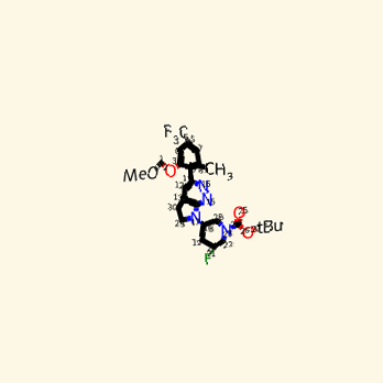 COCOc1cc(C(F)(F)F)cc(C)c1-c1cc2c(nn1)N([C@@H]1C[C@@H](F)CN(C(=O)OC(C)(C)C)C1)CC2